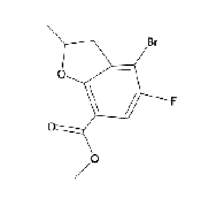 COC(=O)c1cc(F)c(Br)c2c1OC(C)C2